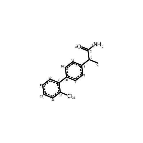 CC(C(N)=O)c1ccc(-c2ccccc2Cl)cc1